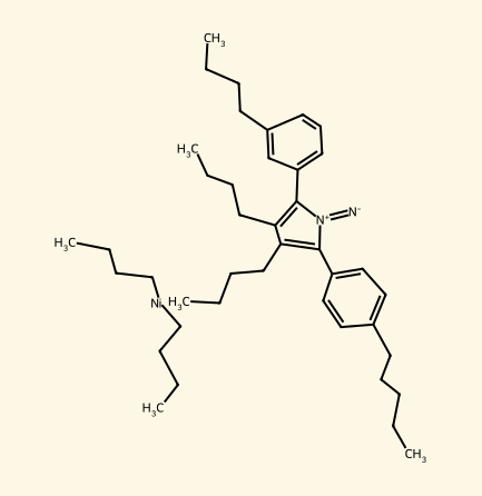 CCCCCc1ccc(C2=C(CCCC)C(CCCC)=C(c3cccc(CCCC)c3)[N+]2=[N-])cc1.CCC[CH2][Ni][CH2]CCC